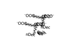 CCCCCCCCCCCCCCCCC(CCCCCCCC(=O)[O-])(CC(=O)[O-])C(=O)[O-].CCCCCCCCCCCCCCCCC(CCCCCCCC(=O)[O-])(CC(=O)[O-])C(=O)[O-].[Ca+2].[Ca+2].[Ca+2]